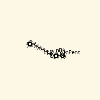 CCCCCC(CCCC)c1nccc(-c2ccc(OC(=O)CCCCCCCCCCc3ccccc3)cc2)n1